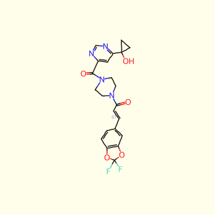 O=C(/C=C/c1ccc2c(c1)OC(F)(F)O2)N1CCN(C(=O)c2cc(C3(O)CC3)ncn2)CC1